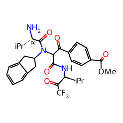 COC(=O)c1ccc(C(=O)C(C(=O)NC(C(=O)C(F)(F)F)C(C)C)N(C(=O)[C@@H](N)C(C)C)C2Cc3ccccc3C2)cc1